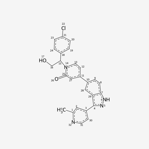 Cc1cc(-c2n[nH]c3ccc(-c4ccn(C(CO)c5ccc(Cl)cc5)c(=O)c4)cc23)ccn1